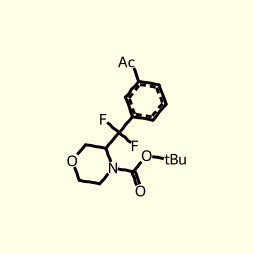 CC(=O)c1cccc(C(F)(F)C2COCCN2C(=O)OC(C)(C)C)c1